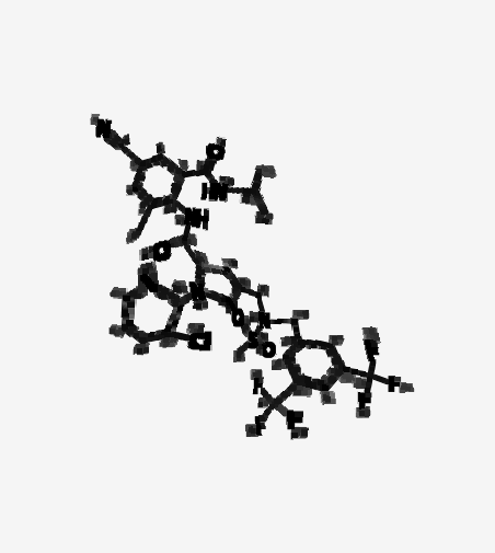 Cc1cc(C#N)cc(C(=O)NC(C)C)c1NC(=O)c1cc(CN(Cc2cc(C(F)(F)F)cc(C(F)(F)F)c2)S(C)(=O)=O)nn1-c1ncccc1Cl